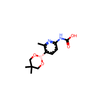 Cc1nc(NC(=O)O)ccc1B1OCC(C)(C)CO1